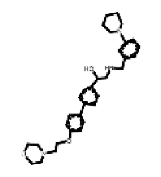 OC(CNCc1cccc(N2CCCCC2)c1)c1ccc(-c2ccc(OCCN3CCOCC3)cc2)cc1